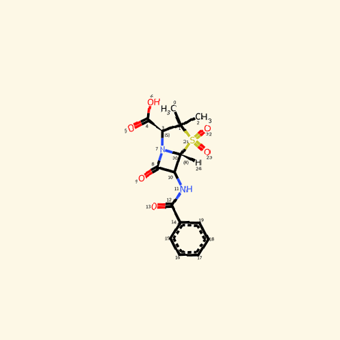 CC1(C)[C@H](C(=O)O)N2C(=O)C(NC(=O)c3ccccc3)[C@H]2S1(=O)=O